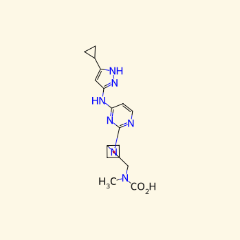 CN(CC12CC(C1)N(c1nccc(Nc3cc(C4CC4)[nH]n3)n1)C2)C(=O)O